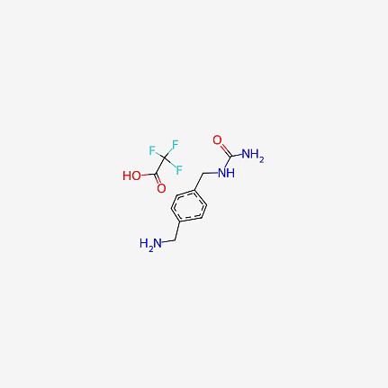 NCc1ccc(CNC(N)=O)cc1.O=C(O)C(F)(F)F